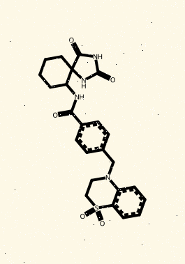 O=C1NC(=O)C2(CCCCC2NC(=O)c2ccc(CN3CCS(=O)(=O)c4ccccc43)cc2)N1